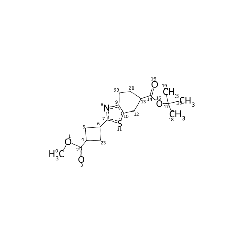 COC(=O)C1CC(c2nc3c(s2)CC(C(=O)OC(C)(C)C)CC3)C1